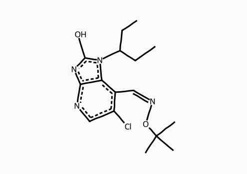 CCC(CC)n1c(O)nc2ncc(Cl)c(/C=N\OC(C)(C)C)c21